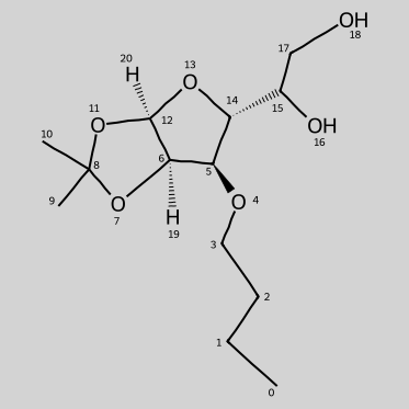 CCCCO[C@H]1[C@H]2OC(C)(C)O[C@H]2O[C@@H]1C(O)CO